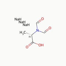 C[C@@H](C(=O)O)N(C=O)C=O.[NaH].[NaH].[NaH]